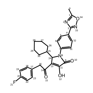 Cc1nc(-c2ccc(N3C(=O)C(O)=C(C(=O)Cc4ccc(F)cc4)C3C3CCCCC3)cc2)no1